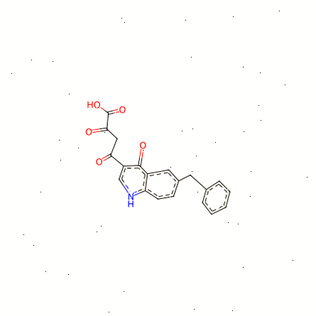 O=C(O)C(=O)CC(=O)c1c[nH]c2ccc(Cc3ccccc3)cc2c1=O